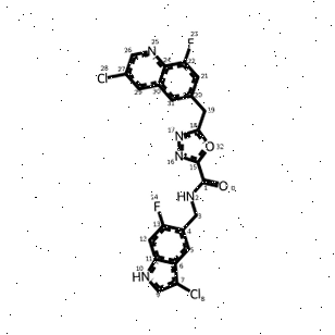 O=C(NCc1cc2c(Cl)c[nH]c2cc1F)c1nnc(Cc2cc(F)c3ncc(Cl)cc3c2)o1